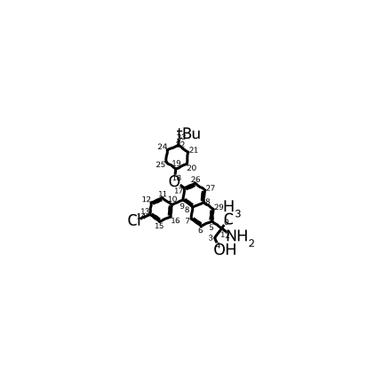 CC(N)(CO)c1ccc2c(-c3ccc(Cl)cc3)c(OC3CCC(C(C)(C)C)CC3)ccc2c1